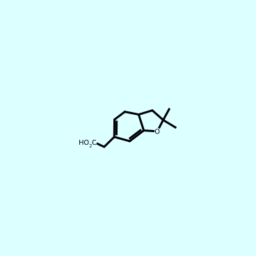 CC1(C)CC2CC=C(CC(=O)O)C=C2O1